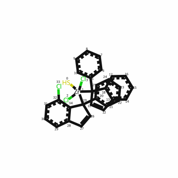 [SH][Zr]([Cl])([Cl])([C]1(c2ccccc2)C=Cc2ccccc21)[C]1(c2ccccc2)C=Cc2cccc(Cl)c21